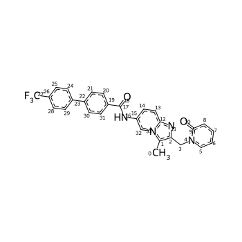 Cc1c(Cn2ccccc2=O)nc2ccc(NC(=O)c3ccc(-c4ccc(C(F)(F)F)cc4)cc3)cn12